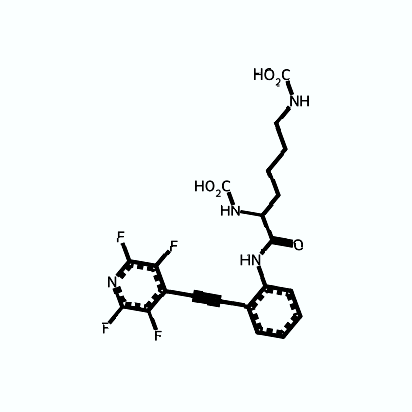 O=C(O)NCCCCC(NC(=O)O)C(=O)Nc1ccccc1C#Cc1c(F)c(F)nc(F)c1F